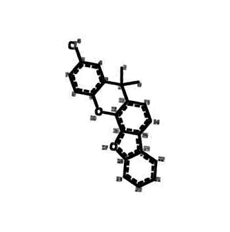 CC1(C)c2cc(Cl)ccc2Oc2c1ccc1c2oc2ccccc21